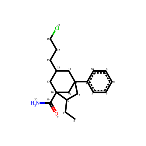 CCC1CC2(c3ccccc3)CC(CCCCl)CC1(C(N)=O)C2